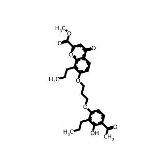 CCCc1c(OCCCOc2ccc3c(=O)cc(C(=O)OC)oc3c2CCC)ccc(C(C)=O)c1O